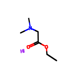 CCOC(=O)CN(C)C.I